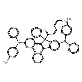 C=C(/C=C\C=C/C)C1(c2ccccc2)c2cc(N(c3ccccc3)c3ccc(C)cc3)ccc2-c2c1c1ccc(N(c3ccccc3)c3ccc(C)cc3)cc1c1ccccc21